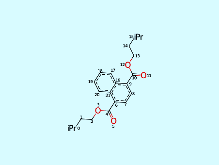 CC(C)CCOC(=O)c1ccc(C(=O)OCCC(C)C)c2ccccc12